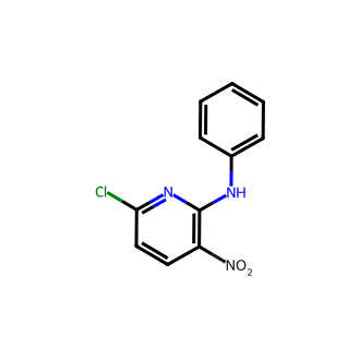 O=[N+]([O-])c1ccc(Cl)nc1Nc1ccccc1